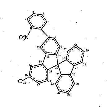 O=[N+]([O-])c1ccccc1-c1ccc2c(c1)-c1cc(Cl)ccc1C21c2ccccc2-c2ccccc21